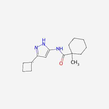 CC1(C(=O)Nc2cc([C]3CCC3)n[nH]2)CCCCC1